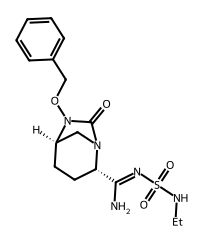 CCNS(=O)(=O)N=C(N)[C@@H]1CC[C@@H]2CN1C(=O)N2OCc1ccccc1